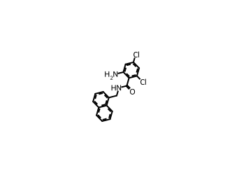 Nc1cc(Cl)cc(Cl)c1C(=O)NCc1cccc2ccccc12